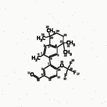 Cc1cc2c(cc1-c1cc(C=O)ccc1OC(F)(F)F)C(C)(C)CCC2(C)C